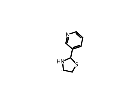 [CH]1CSC(c2cccnc2)N1